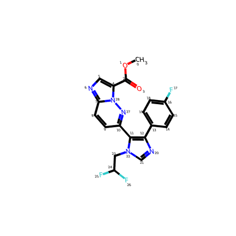 COC(=O)c1cnc2ccc(-c3c(-c4ccc(F)cc4)ncn3CC(F)F)nn12